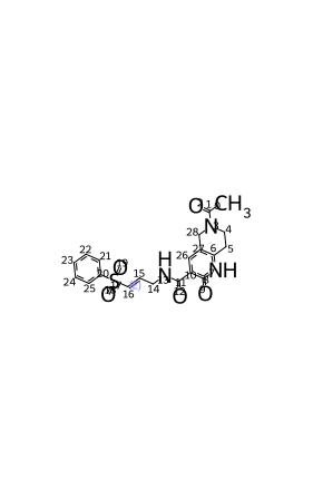 CC(=O)N1CCc2[nH]c(=O)c(C(=O)NC/C=C/S(=O)(=O)c3ccccc3)cc2C1